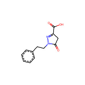 O=C(O)C1=NN(CCc2ccccc2)C(=O)C1